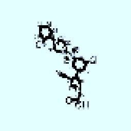 N#Cc1cn(CC(=O)O)cc1-c1cc(Cl)cc(S(=O)(=O)N2CCN(c3ccccc3Cl)CC2)c1